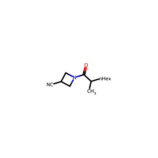 CCCCCCC(C)C(=O)N1CC(C#N)C1